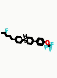 CC(F)CCC[C@H]1CC[C@H]([Si@H]2CC[C@H](c3ccc(OC(F)(F)F)cc3)CC2)CC1